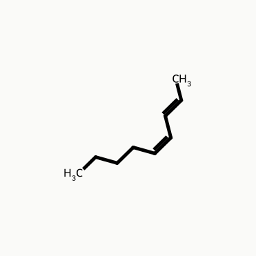 C/C=C/C=C\CCCC